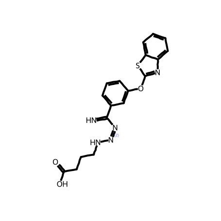 N=C(/N=N\NCCCC(=O)O)c1cccc(Oc2nc3ccccc3s2)c1